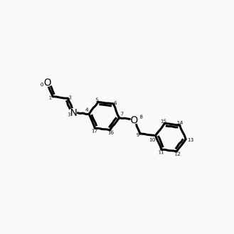 O=CC=Nc1ccc(OCc2ccccc2)cc1